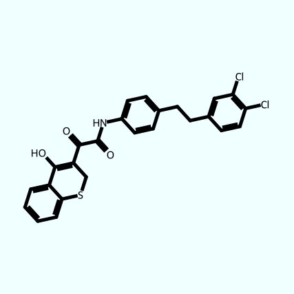 O=C(Nc1ccc(CCc2ccc(Cl)c(Cl)c2)cc1)C(=O)C1=C(O)c2ccccc2SC1